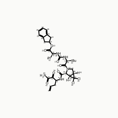 C=CCC(NC(=O)[C@@H]1[C@@H]2[C@H](CN1C(=O)[C@@H](NC(=O)N[C@H](C(=O)OC1Cc3ccccc3C1)C(C)C)C(C)(C)C)C2(Cl)Cl)C(=O)C(N)=O